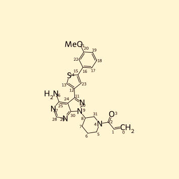 C=CC(=O)N1CCCC(n2nc(-c3csc(-c4cccc(OC)c4)c3)c3c(N)ncnc32)C1